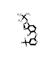 CC(C)(C)Cn1nnc2c(Br)c(Oc3cc(C(F)(F)F)ccn3)ccc21